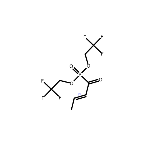 C/C=C/C(=O)P(=O)(OCC(F)(F)F)OCC(F)(F)F